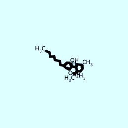 CCCCCCCCc1cc(O)c2c(c1)OC(C)(C)[C@@H]1CC=C(C)C[C@@H]21